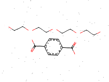 O=C(O)c1ccc(C(=O)O)cc1.OCCOCCOCCOCCO